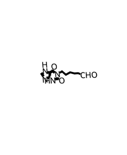 O=CCCCCCn1c(=O)[nH]c2nc[nH]c2c1=O